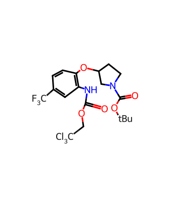 CC(C)(C)OC(=O)N1CCC(Oc2ccc(C(F)(F)F)cc2NC(=O)OCC(Cl)(Cl)Cl)C1